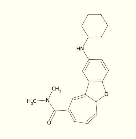 CN(C)C(=O)C1=CC=CC2Oc3ccc(NC4CCCCC4)cc3C2=C1